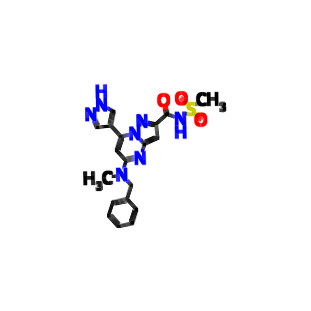 CN(Cc1ccccc1)c1cc(-c2cn[nH]c2)n2nc(C(=O)NS(C)(=O)=O)cc2n1